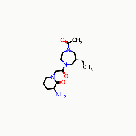 CC[C@H]1CN(C(C)=O)CCN(C(=O)CN2CCC[C@H](N)C2=O)C1